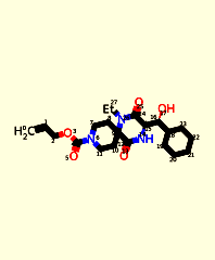 C=CCOC(=O)N1CCC2(CC1)C(=O)N[C@H]([C@H](O)C1CCCCC1)C(=O)N2CC